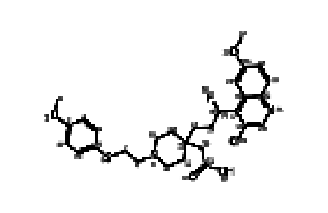 COc1ccc(SCCN2CCC(CC[C@@H](F)c3c(Cl)cnc4ccc(OC)cc34)(CC(=O)O)CC2)cc1